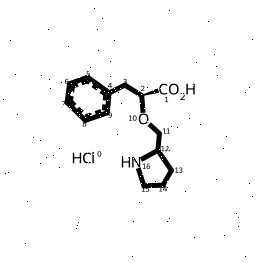 Cl.O=C(O)[C@H](Cc1ccccc1)OCC1CCCN1